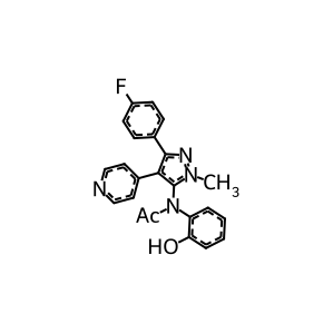 CC(=O)N(c1ccccc1O)c1c(-c2ccncc2)c(-c2ccc(F)cc2)nn1C